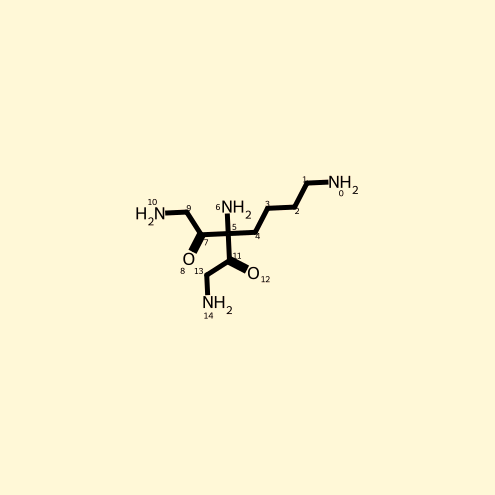 NCCCCC(N)(C(=O)CN)C(=O)CN